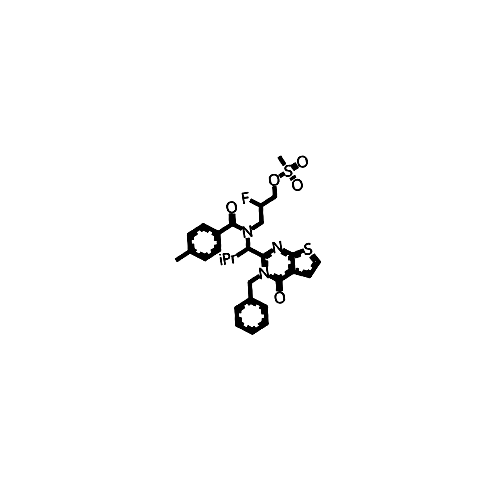 Cc1ccc(C(=O)N(CC(F)COS(C)(=O)=O)C(c2nc3sccc3c(=O)n2Cc2ccccc2)C(C)C)cc1